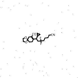 N#CCCCCC(F)(F)CC(C1=C(C(=O)O)CC2(CC1)OCCO2)C1CC1